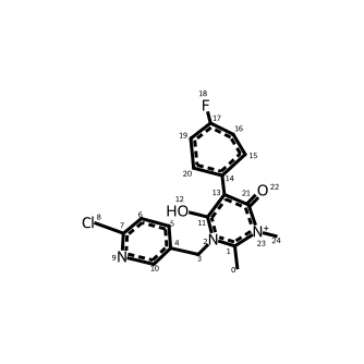 Cc1n(Cc2ccc(Cl)nc2)c(O)c(-c2ccc(F)cc2)c(=O)[n+]1C